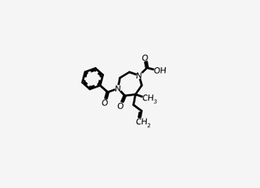 C=CCC1(C)CN(C(=O)O)CCN(C(=O)c2ccccc2)C1=O